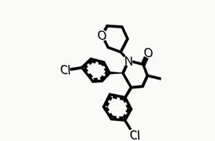 CC1CC(c2cccc(Cl)c2)[C@@H](c2ccc(Cl)cc2)N(C2CCCOC2)C1=O